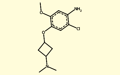 COc1cc(N)c(Cl)cc1OC1CC(N(C)C)C1